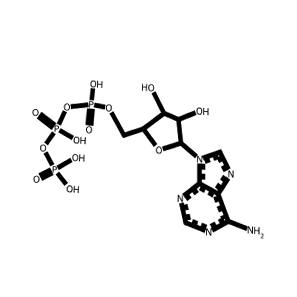 Nc1ncnc2c1ncn2C1OC(COP(=O)(O)OP(=O)(O)OP(=O)(O)O)C(O)C1O